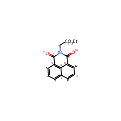 CCOC(=O)CN1C(=O)c2cccc3cccc(c23)C1=O